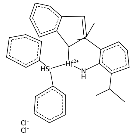 CC(C)c1cccc(C(C)C)c1[NH][Hf+2]([CH]1C=Cc2ccccc21)[SiH](c1ccccc1)c1ccccc1.[Cl-].[Cl-]